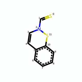 S=CN1C=Cc2ccccc2S1